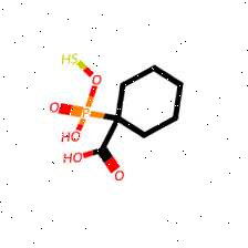 O=C(O)C1(P(=O)(O)OS)CCCCC1